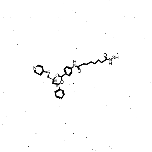 O=C(CCCCCCC(=O)Nc1ccc(C2O[C@H](CSc3ccncc3)C[C@H](c3ccccc3)O2)cc1)NO